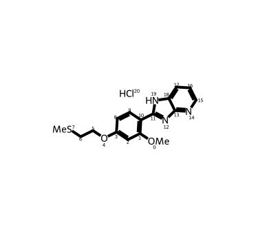 COc1cc(OCCSC)ccc1-c1nc2ncccc2[nH]1.Cl